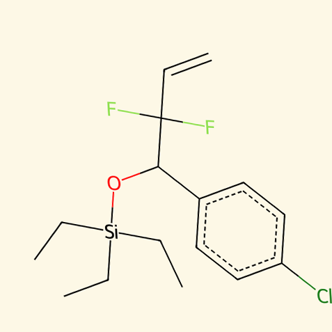 C=CC(F)(F)C(O[Si](CC)(CC)CC)c1ccc(Cl)cc1